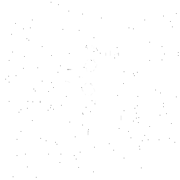 CCCCCN(CCCC)c1ccc(C(=C2C=CC(C)C=C2)c2ccc(N(CCCCI)CCCCI)cc2)cc1